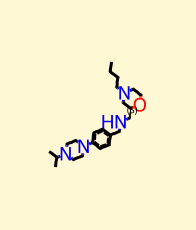 CCCCN1CCO[C@@H](CNCc2ccc(N3CCN(C(C)C)CC3)cc2)C1